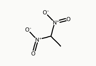 CC([N+](=O)[O-])[N+](=O)[O-]